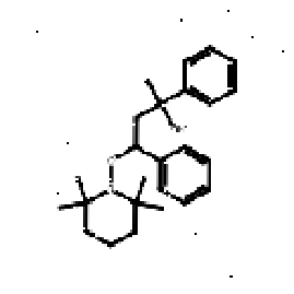 CCCC(C)(CC(ON1C(C)(C)CCCC1(C)C)c1ccccc1)c1ccccc1